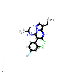 COCc1cnn2c(NC(C)C(F)(F)F)c(-c3ccc(F)cc3Cl)c(Cl)nc12